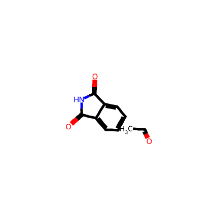 CC=O.O=C1NC(=O)c2ccccc21